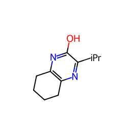 CC(C)c1nc2c(nc1O)CCCC2